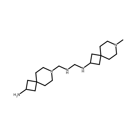 CN1CCC2(CC1)CC(NCNCN1CCC3(CC1)CC(N)C3)C2